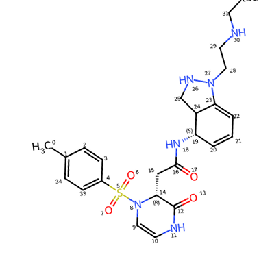 Cc1ccc(S(=O)(=O)N2C=CNC(=O)[C@H]2CC(=O)N[C@H]2C=CC=C3C2CNN3CCNCC(C)(C)C)cc1